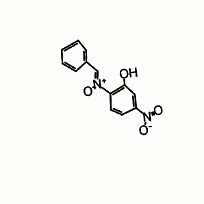 O=[N+]([O-])c1ccc([N+]([O-])=Cc2ccccc2)c(O)c1